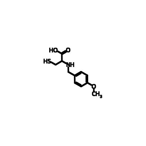 COc1ccc(CNC(CS)C(=O)O)cc1